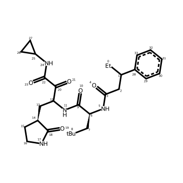 CCC(CC(=O)N[C@@H](CC(C)(C)C)C(=O)NC(C[C@@H]1CCNC1=O)C(=O)C(=O)NC1CC1)c1ccccc1